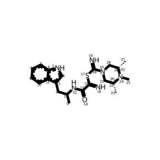 CC(Cc1c[nH]c2ccccc12)NC(=O)C(=N)SC(=N)N1C[C@@H](C)N(C)[C@@H](C)C1